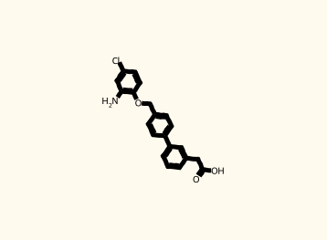 Nc1cc(Cl)ccc1OCc1ccc(-c2cccc(CC(=O)O)c2)cc1